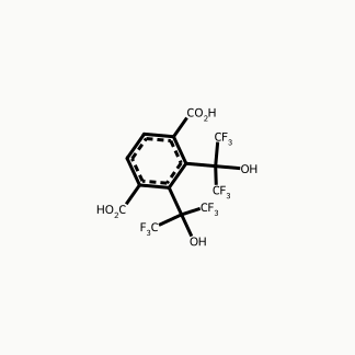 O=C(O)c1ccc(C(=O)O)c(C(O)(C(F)(F)F)C(F)(F)F)c1C(O)(C(F)(F)F)C(F)(F)F